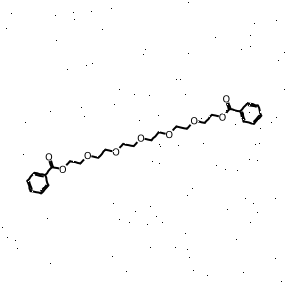 O=C(OCCOCCOCCOCCOCCOCCOC(=O)c1ccccc1)c1ccccc1